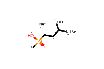 CC(=O)NC(CCP(C)(=O)O)C(=O)[O-].[Na+]